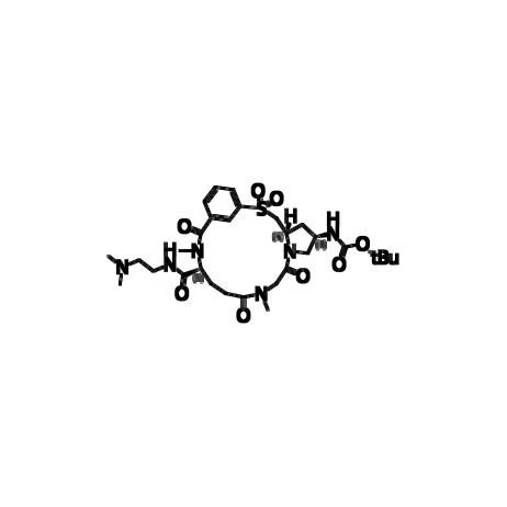 CN(C)CCNC(=O)[C@@H]1CCC(=O)N(C)CC(=O)N2C[C@H](NC(=O)OC(C)(C)C)C[C@H]2CS(=O)(=O)c2cccc(c2)C(=O)N1C